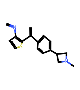 C=Nc1ccsc1C(=C)c1ccc(C2CN(C)C2)cc1